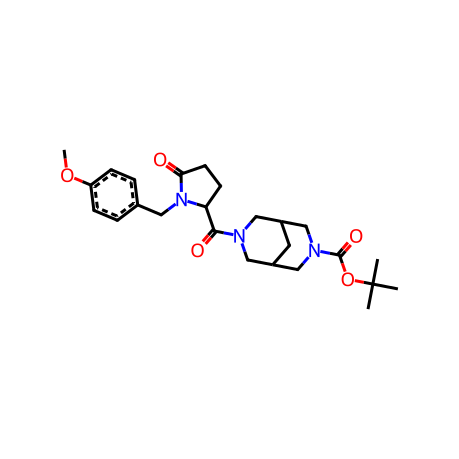 COc1ccc(CN2C(=O)CCC2C(=O)N2CC3CC(CN(C(=O)OC(C)(C)C)C3)C2)cc1